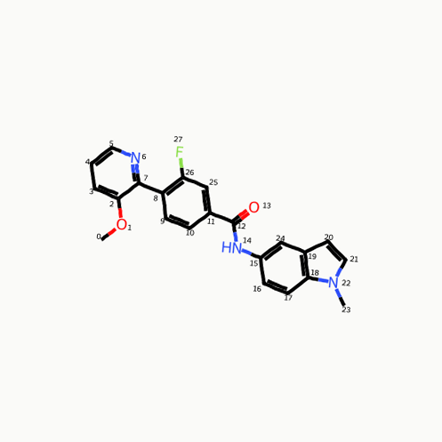 COc1cccnc1-c1ccc(C(=O)Nc2ccc3c(ccn3C)c2)cc1F